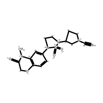 CN1C(=O)COc2ccc(N3CCN(C4CCN(C#N)C4)S3(=O)=O)cc21